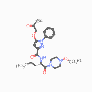 CCOC(=O)ON1CCN(C(=O)[C@H](CCC(=O)O)NC(=O)c2cc(OCC(=O)C(C)(C)C)n(-c3ccccc3)n2)CC1